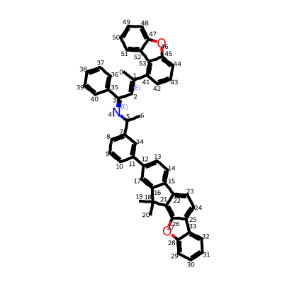 C/C(=C\C(=N/C(C)c1cccc(-c2ccc3c(c2)C(C)(C)c2c-3ccc3c2oc2ccccc23)c1)c1ccccc1)c1cccc2oc3ccccc3c12